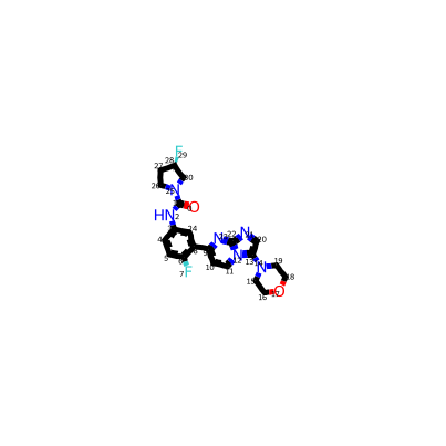 O=C(Nc1ccc(F)c(-c2ccn3c(N4CCOCC4)cnc3n2)c1)N1CC[C@@H](F)C1